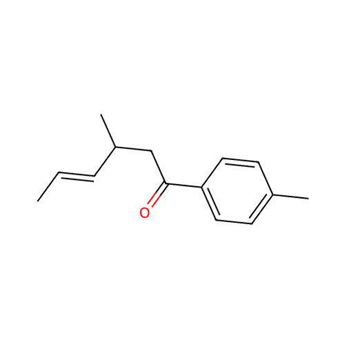 CC=CC(C)CC(=O)c1ccc(C)cc1